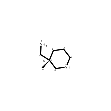 C[C@@]1(CN)CCCNC1